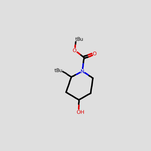 CC(C)(C)OC(=O)N1CCC(O)CC1C(C)(C)C